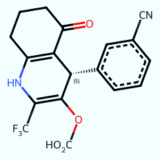 N#Cc1cccc([C@@H]2C(OC(=O)O)=C(C(F)(F)F)NC3=C2C(=O)CCC3)c1